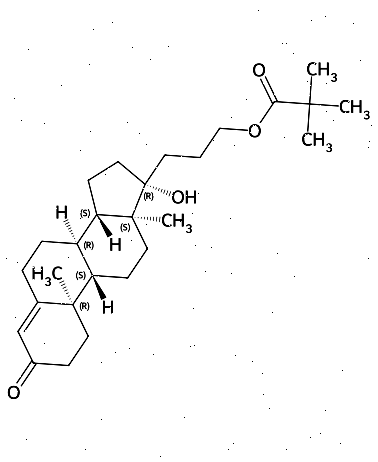 CC(C)(C)C(=O)OCCC[C@]1(O)CC[C@H]2[C@@H]3CCC4=CC(=O)CC[C@]4(C)[C@H]3CC[C@@]21C